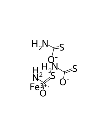 NC([O-])=S.NC([O-])=S.NC([O-])=S.[Fe+3]